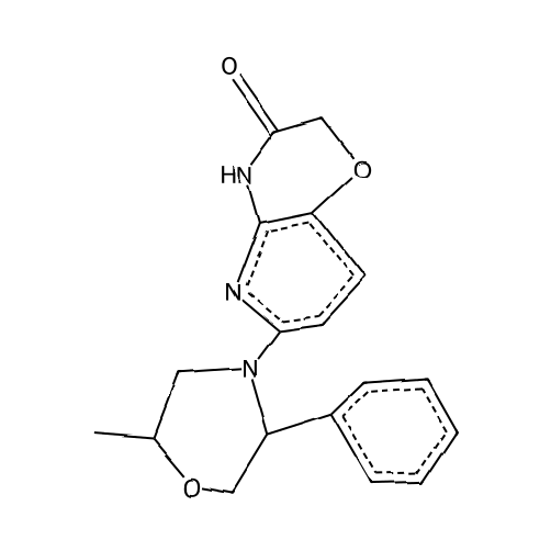 CC1CN(c2ccc3c(n2)NC(=O)CO3)C(c2ccccc2)CO1